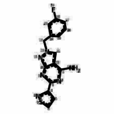 Nc1nc(-c2ccsn2)nc2nn(Cc3cccc(F)c3)cc12